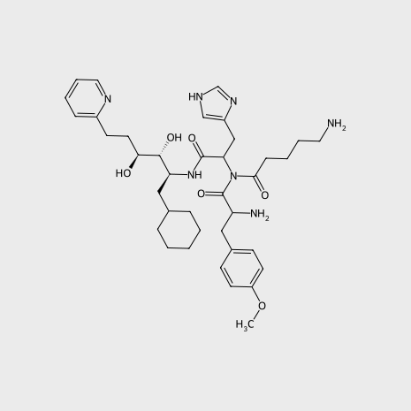 COc1ccc(CC(N)C(=O)N(C(=O)CCCCN)C(Cc2c[nH]cn2)C(=O)N[C@@H](CC2CCCCC2)[C@@H](O)[C@@H](O)CCc2ccccn2)cc1